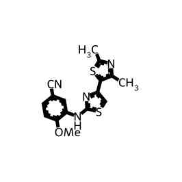 COc1ccc(C#N)cc1Nc1nc(-c2sc(C)nc2C)cs1